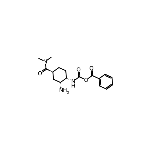 CN(C)C(=O)[C@H]1CC[C@H](NC(=O)OC(=O)c2ccccc2)[C@H](N)C1